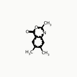 Cc1nc2cc(C)c(C)cc2c(=O)o1